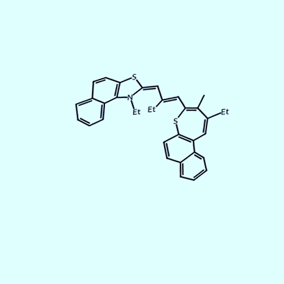 CCC1=Cc2c(ccc3ccccc23)SC(/C=C(/C=C2/Sc3ccc4ccccc4c3N2CC)CC)=C1C